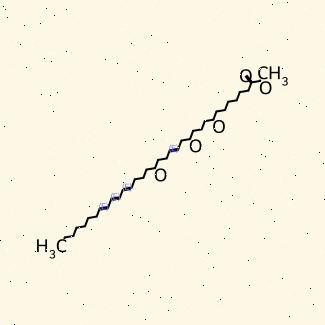 CCCCCCC/C=C/C=C/C=C/CCCC(=O)CC/C=C/CC(=O)CCCC(=O)CCCCCCC(=O)C(C)=O